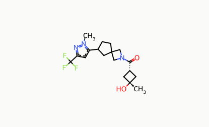 Cn1nc(C(F)(F)F)cc1C1CCC2(C1)CN(C(=O)[C@H]1C[C@@](C)(O)C1)C2